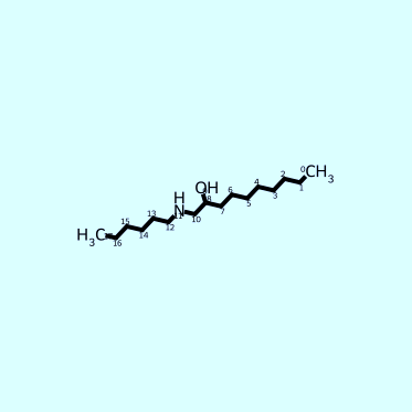 CCCCCCCCC(O)CNCCCCCC